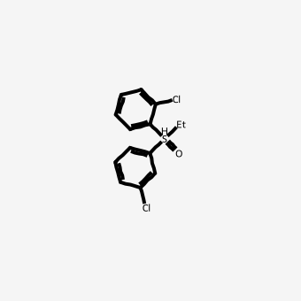 CC[SH](=O)(c1cccc(Cl)c1)c1ccccc1Cl